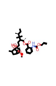 C=CCOC(=O)Nc1ccccc1C(=O)O[C@@H](C)C(CC[C@@]1(O)C[C@H](OC)C2CC(C)[C@]1(O)[C@H]2OC)C(C)(C)[C@@H](C)CC